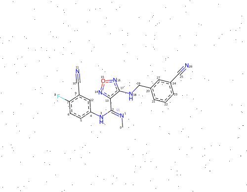 C/N=C(\Nc1ccc(F)c(C#N)c1)c1nonc1NCc1cccc(C#N)c1